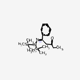 CCC(=O)C/C(=N\N([Si](C)(C)C)[Si](C)(C)C)c1ccccc1